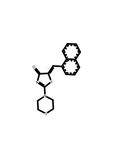 O=C1N=C(N2CCSCC2)S/C1=C\c1cccc2ccccc12